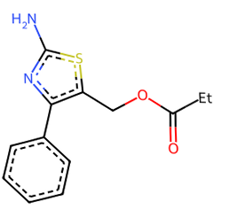 CCC(=O)OCc1sc(N)nc1-c1ccccc1